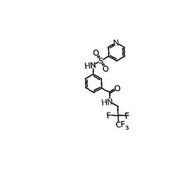 O=C(NCC(F)(F)C(F)(F)F)c1cccc(NS(=O)(=O)c2cccnc2)c1